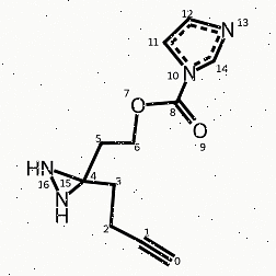 C#CCCC1(CCOC(=O)n2ccnc2)NN1